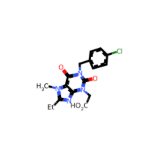 CCc1nc2c(c(=O)n(Cc3ccc(Cl)cc3)c(=O)n2CC(=O)O)n1C